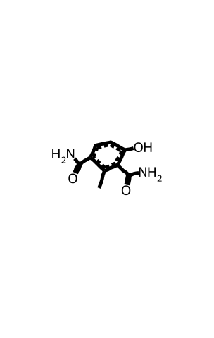 Cc1c(C(N)=O)ccc(O)c1C(N)=O